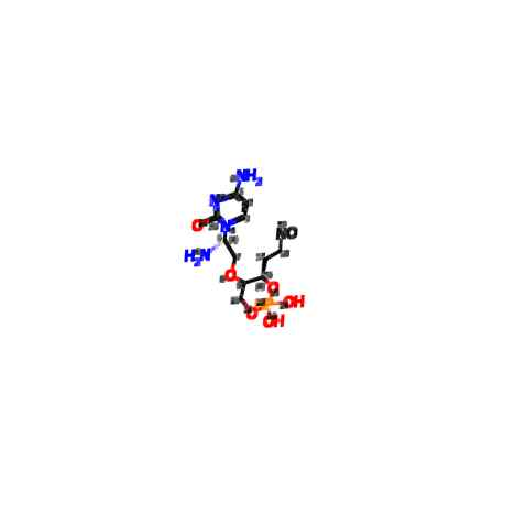 Nc1ccn([C@@H](N)COC2CO[PH](O)(O)O[C@@H]2CCN=O)c(=O)n1